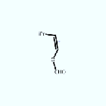 CC(C)/C=C\O[C]=O